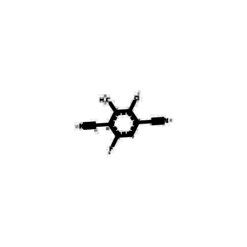 Cc1c(Cl)c(C#N)cc(F)c1C#N